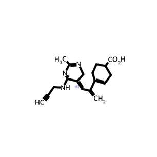 C#CCNC1=NC(C)=NC/C1=C\C(=C)C1=CCC(C(=O)O)CC1